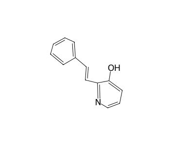 Oc1cccnc1/C=C/c1ccccc1